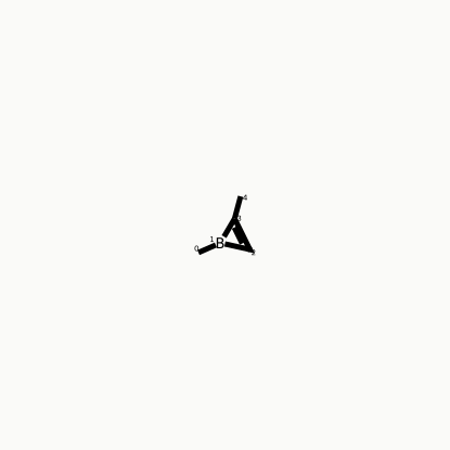 CB1C=C1C